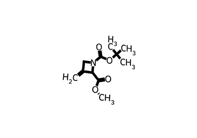 C=C1CN(C(=O)OC(C)(C)C)C1C(=O)OC